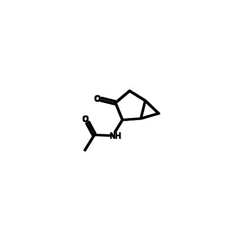 CC(=O)NC1C(=O)CC2CC21